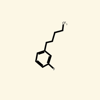 Fc1cccc(CCCCC(F)(F)F)c1